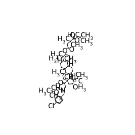 CC(C)C1=C2[C@H]3CC[C@@H]4[C@@]5(C)CC[C@H](OC(=O)CC(C)(C)C(=O)OC(C)(C)C)C(C)(C)[C@@H]5CC[C@@]4(C)[C@]3(C)CC[C@@]2(C(=O)CN(Cc2ccc(Cl)cc2)C(=O)OC(C)(C)C)CC1=O